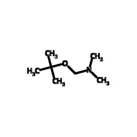 CN(C)COC(C)(C)C